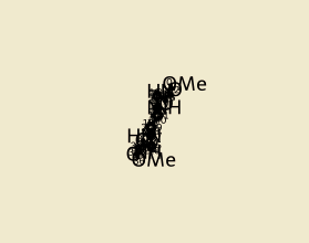 COC(=O)N[C@@H](C)C(=O)N1CCC[C@H]1c1nc2cc(-c3ccc4[nH]c([C@@H]5CCCN5C(=O)[C@H](C)NC(=O)OC)nc4c3)ccc2[nH]1